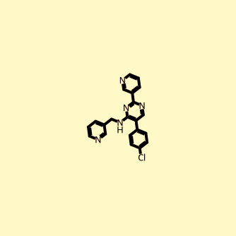 Clc1ccc(-c2cnc(-c3cccnc3)nc2NCc2cccnc2)cc1